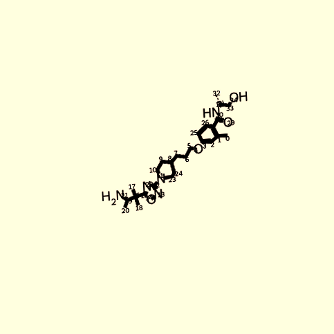 Cc1cc(OCCCC2CCN(c3noc(C(C)(C)C(C)N)n3)CC2)ccc1C(=O)N[C@H](C)CO